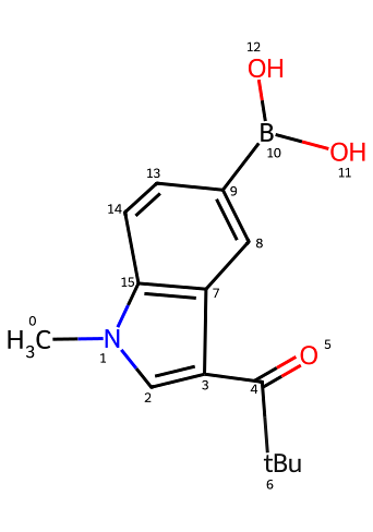 Cn1cc(C(=O)C(C)(C)C)c2cc(B(O)O)ccc21